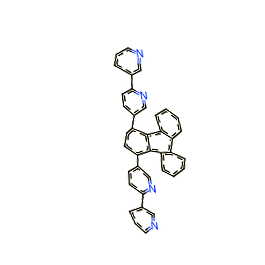 c1cncc(-c2ccc(-c3ccc(-c4ccc(-c5cccnc5)nc4)c4c5ccccc5c5ccccc5c34)cn2)c1